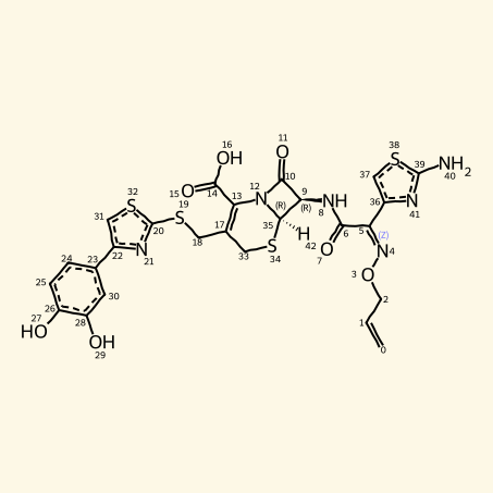 C=CCO/N=C(\C(=O)N[C@@H]1C(=O)N2C(C(=O)O)=C(CSc3nc(-c4ccc(O)c(O)c4)cs3)CS[C@H]12)c1csc(N)n1